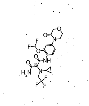 NC(=O)[C@@H](C(=O)Nc1ccc(N2CCOCC2=O)cc1OC(F)F)N(CC(F)(F)F)C1CC1